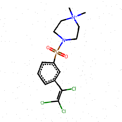 C[N+]1(C)CCN(S(=O)(=O)c2cccc(C(Cl)=C(Cl)Cl)c2)CC1